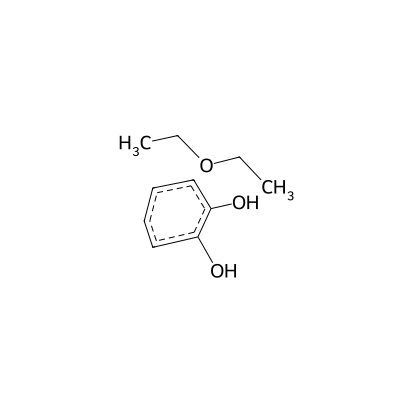 CCOCC.Oc1ccccc1O